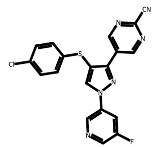 N#Cc1ncc(-c2nn(-c3cncc(F)c3)cc2Sc2ccc(Cl)cc2)cn1